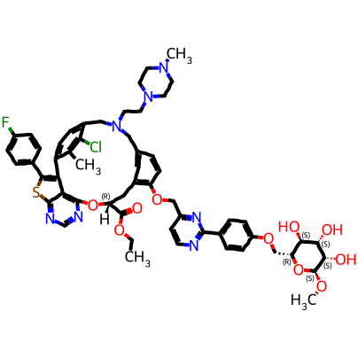 CCOC(=O)[C@H]1Cc2cc(ccc2OCc2ccnc(-c3ccc(OC[C@H]4O[C@H](OC)[C@@H](O)[C@@H](O)[C@@H]4O)cc3)n2)CN(CCN2CCN(C)CC2)Cc2ccc(c(C)c2Cl)-c2c(-c3ccc(F)cc3)sc3ncnc(c23)O1